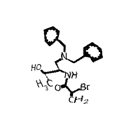 C=C(Br)C(=O)N[C@H](CN(Cc1ccccc1)Cc1ccccc1)[C@H](C)O